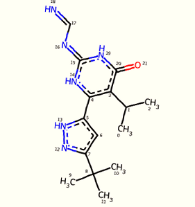 CC(C)c1c(-c2cc(C(C)(C)C)n[nH]2)[nH]/c(=N/C=N)[nH]c1=O